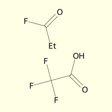 CCC(=O)F.O=C(O)C(F)(F)F